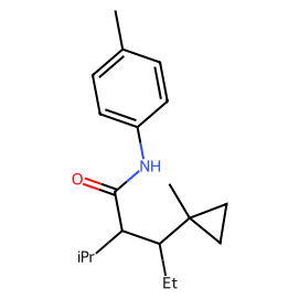 CCC(C(C(=O)Nc1ccc(C)cc1)C(C)C)C1(C)CC1